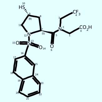 O=C(O)CN(CC(F)(F)F)C(=O)[C@@H]1C[C@@H](S)CN1S(=O)(=O)c1ccc2ccccc2c1